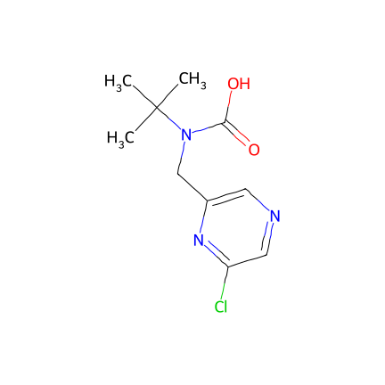 CC(C)(C)N(Cc1cncc(Cl)n1)C(=O)O